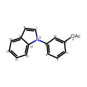 CC(=O)Oc1cccc(-n2ccc3ccccc32)c1